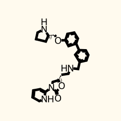 O=C1O[C@@H](CCNCc2cccc(-c3cccc(OC[C@@H]4CCCN4)c3)c2)CN1C1=CC=CCN1